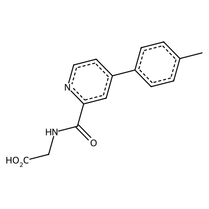 Cc1ccc(-c2ccnc(C(=O)NCC(=O)O)c2)cc1